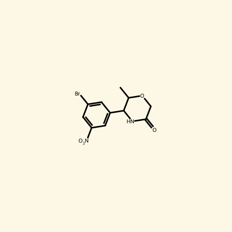 CC1OCC(=O)NC1c1cc(Br)cc([N+](=O)[O-])c1